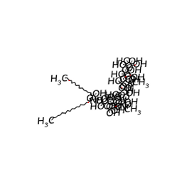 CCCCCCCCCCCCC/C=C/[C@@H](O)[C@H](CO[C@@H]1OC(CO)[C@@H](O[C@@H]2OC(CO)[C@H](O)[C@H](O[C@@H]3OC(CO)[C@@H](O[C@@H]4OC(CO)[C@H](O)[C@H](O[C@@H]5OC(CO)[C@@H](O[C@@H]6OC(CO)[C@H](O)[C@H](O[C@H]7OC(CO)[C@H](O)[C@H](O)C7O)C6O)[C@H](O)C5NC(C)=O)C4O)[C@H](O)C3NC(C)=O)C2O)[C@H](O)C1O)NC(=O)CCCCCCCCCCCCCCCCC